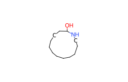 OC1CCCCCCCCCCCN1